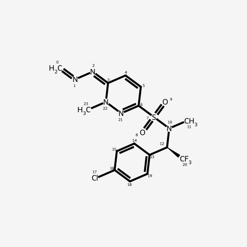 C=N/N=c1/ccc(S(=O)(=O)N(C)[C@H](c2ccc(Cl)cc2)C(F)(F)F)nn1C